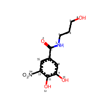 O=C(NCCCO)c1cc(O)c(O)c([N+](=O)[O-])c1